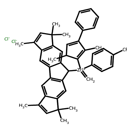 [CH2]=[Zr+2]([C]1=C(C)C(c2ccccc2)=CC1C)([c]1ccc(C(F)(F)F)cc1)[CH]1c2cc3c(cc2-c2cc4c(cc21)C(C)(C)C=C4C)C(C)=CC3(C)C.[Cl-].[Cl-]